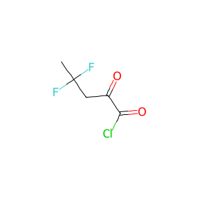 CC(F)(F)CC(=O)C(=O)Cl